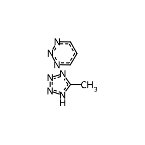 Cc1nnn[nH]1.c1cnnnc1